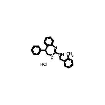 Cc1ccccc1CNC1=Nc2ccccc2C(c2ccccc2)CN1.Cl